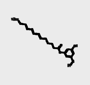 CCCCCCCCCCCCCCCCCCCCCC(=O)Oc1cc(O)cc(OC(C)C)c1